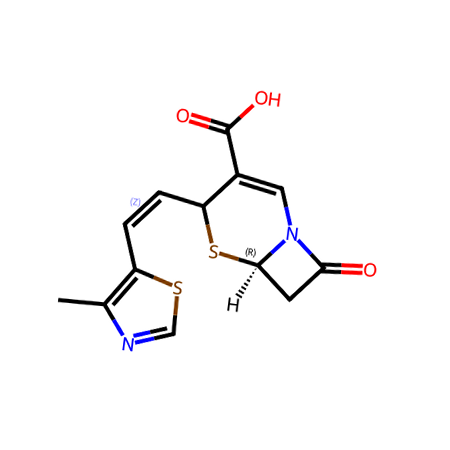 Cc1ncsc1/C=C\C1S[C@@H]2CC(=O)N2C=C1C(=O)O